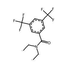 [CH2][CH]N([CH][CH2])C(=O)c1cc(C(F)(F)F)cc(C(F)(F)F)c1